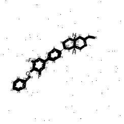 CCC1CC[C@@H]2C[C@H](c3ccc(-c4cc(F)c(OCc5ccccc5)c(F)c4)cc3)CC[C@@H]2C1